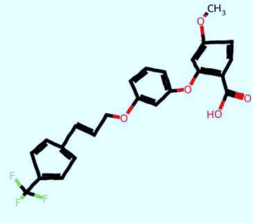 COc1ccc(C(=O)O)c(Oc2cccc(OCC=Cc3ccc(C(F)(F)F)cc3)c2)c1